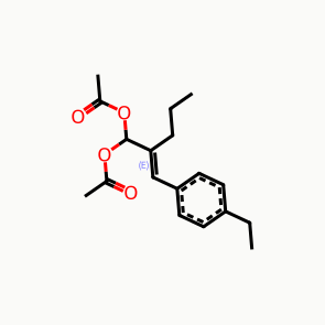 CCC/C(=C\c1ccc(CC)cc1)C(OC(C)=O)OC(C)=O